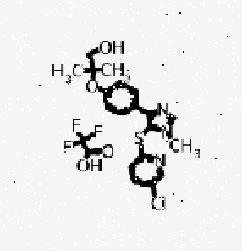 Cn1cnc(-c2ccc(OC(C)(C)CO)cc2)c1Sc1ccc(Cl)cn1.O=C(O)C(F)(F)F